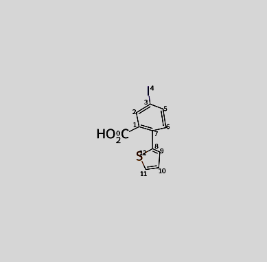 O=C(O)c1cc(I)ccc1-c1cccs1